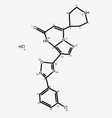 Cl.O=c1cc(C2CCNCC2)n2ncc(-c3nc(-c4cccc(Cl)c4)no3)c2[nH]1